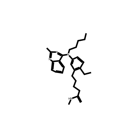 C=C(CCCCc1cc(N(CCCCC)c2nc(C)nc3ccccc23)ccc1CC)NC